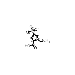 CCn1cc(S(=O)(=O)Cl)cc1C(=O)O